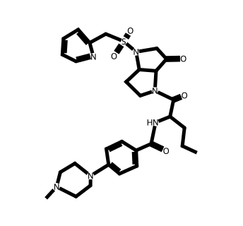 CCCC(NC(=O)c1ccc(N2CCN(C)CC2)cc1)C(=O)N1CCC2C1C(=O)CN2S(=O)(=O)Cc1ccccn1